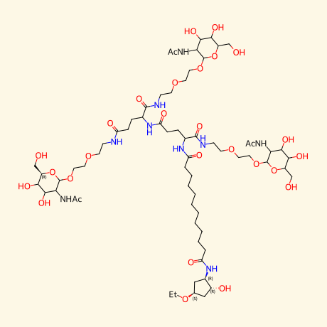 CCO[C@@H]1C[C@@H](O)[C@H](NC(=O)CCCCCCCCCCC(=O)NC(CCC(=O)NC(CCC(=O)NCCOCCOC2O[C@H](CO)C(O)C(O)C2NC(C)=O)C(=O)NCCOCCOC2OC(CO)C(O)C(O)C2NC(C)=O)C(=O)NCCOCCOC2OC(CO)C(O)C(O)C2NC(C)=O)C1